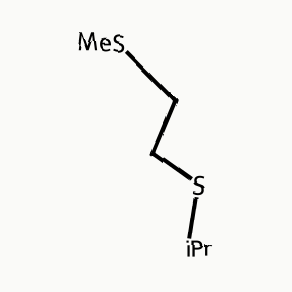 CSCCSC(C)C